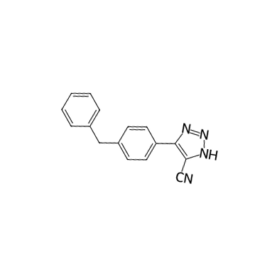 N#Cc1[nH]nnc1-c1ccc(Cc2ccccc2)cc1